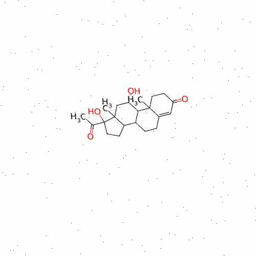 CC(=O)C1(O)CCC2C3CCC4=CC(=O)CCC4(C)C3[C@@H](O)CC21C